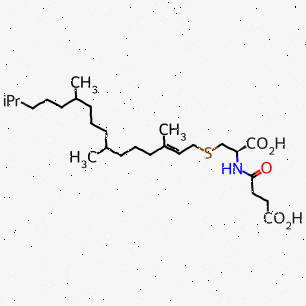 C/C(=C\CSC[C@H](NC(=O)CCC(=O)O)C(=O)O)CCCC(C)CCCC(C)CCCC(C)C